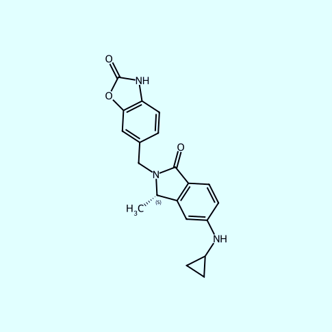 C[C@H]1c2cc(NC3CC3)ccc2C(=O)N1Cc1ccc2[nH]c(=O)oc2c1